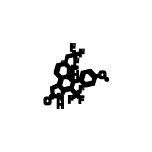 COc1ccc(C2C(C(F)(F)F)=C3NC(=O)CC3=C3C=C[C@@H](CC(F)(F)F)N(C)[C@@H]32)cc1